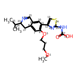 COCCCOc1cc2c(cc1-c1csc(NC(=O)O)n1)C=NC(C(C)C)C2